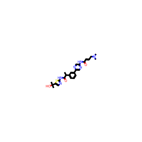 CC(C(=O)Nc1ncc(C(C)(C)O)s1)c1cccc(-c2cnc(NC(=O)C=CCN(C)C)cn2)c1